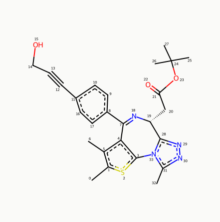 Cc1sc2c(c1C)C(c1ccc(C#CCO)cc1)=N[C@H](CC(=O)OC(C)(C)C)c1nnc(C)n1-2